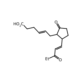 CCC(=O)/C=C/C1CCC(=O)C1C/C=C/CCC(=O)O